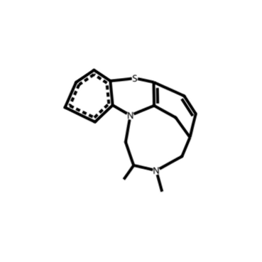 CC1CN2C3=C(C=CC(C3)CN1C)Sc1ccccc12